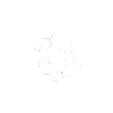 CCN1CCN(C(=O)c2ccc(Nc3ncc(F)c(-c4cc(F)c5nc(C)n(C(C)C)c5c4)n3)nc2)[C@H](C)C1